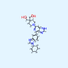 OCC1(CO)CCN(c2cc3[nH]cnc3c(-c3ccc4c(c3)ncn4C3CCCCC3)n2)CC1